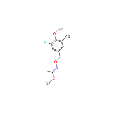 CCO/C(C)=N/OCc1cc(F)c(OC(C)C)c(C#N)c1